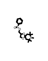 CN1C(C)(C)CC2(CC1(C)C)OCC(COS(=O)c1ccccc1)O2